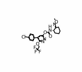 CO/N=C1\CCCC[C@@H]1NC(=O)Oc1cc(-c2ccc(Cl)cc2)c(OCC(F)(F)F)nn1